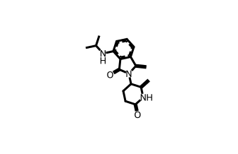 C=C1NC(=O)CCC1N1C(=C)c2cccc(NC(C)C)c2C1=O